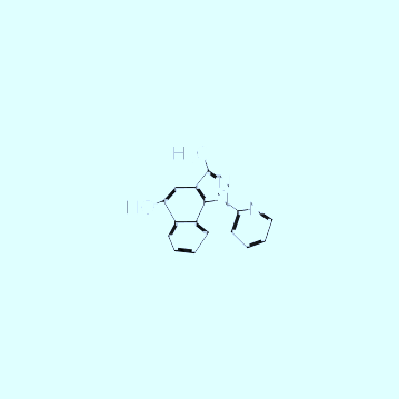 Cc1nn(-c2ccccn2)c2c1cc(O)c1ccccc12